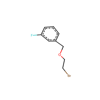 Fc1cccc(COCCBr)c1